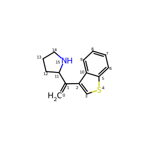 C=C(c1csc2ccccc12)C1CCCN1